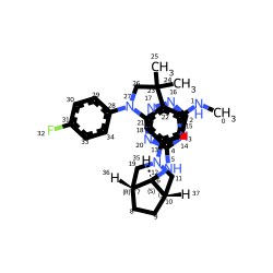 CNc1nc(N[C@@H]2[C@@H]3CC[C@H]2CN(c2ccnnc2)C3)nc2c1C(C)(C)CN2c1ccc(F)cc1